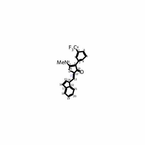 CNC1=C(c2cccc(C(F)(F)F)c2)C(=O)/C(=C/C2C=Cc3ccccc32)S1